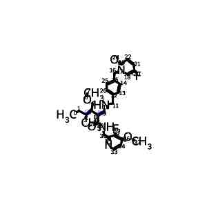 CC/C(C)=C(COC)/C(=C\NCc1ccc(Cn2cc(F)ccc2=O)cc1)C(=O)NCc1nccc(OC)c1F